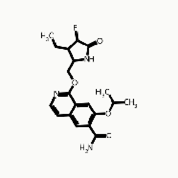 CCC1C(COc2nccc3cc(C(N)=O)c(OC(C)C)cc23)NC(=O)C1F